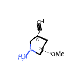 C#C[C@@H]1C[C@H](OC)CN(N)C1